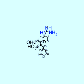 N=C(N)Nc1cccc(C(=CC=O)C(=Cc2ccccc2)C(=O)O)c1